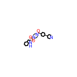 O=C(c1ccc(-c2ccncc2)cc1)N1CCN(S(=O)(=O)c2cc3ccccc3[nH]2)CC1